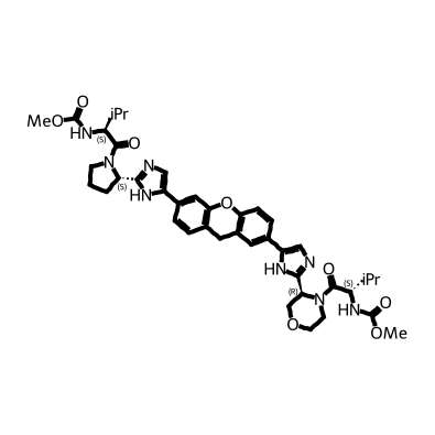 COC(=O)N[C@H](C(=O)N1CCC[C@H]1c1ncc(-c2ccc3c(c2)Oc2ccc(-c4cnc([C@@H]5COCCN5C(=O)[C@@H](NC(=O)OC)C(C)C)[nH]4)cc2C3)[nH]1)C(C)C